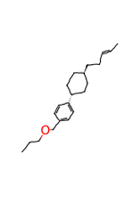 CC=CCC[C@H]1CC[C@H](c2ccc(COCCC)cc2)CC1